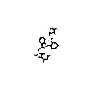 CCc1nc2c(C)cc(C)nc2n1Cc1nn(-c2ccccc2S(=O)(=O)Nc2noc(C)c2C)c2ccccc12